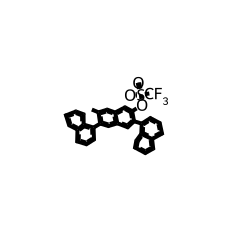 Cc1cc2cc(OS(=O)(=O)C(F)(F)F)c(-c3cccc4ccccc34)cc2cc1-c1cccc2ccccc12